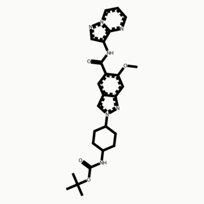 COc1cc2nn(C3CCC(NC(=O)OC(C)(C)C)CC3)cc2cc1C(=O)Nc1cnn2cccnc12